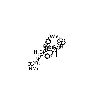 CNC(=O)CNC(=O)NCCCC(C)(C)CN(C[C@@H](O)[C@H](Cc1ccccc1)NC(=O)O[C@H]1CO[C@H]2OCC[C@H]21)S(=O)(=O)c1ccc(OC)cc1